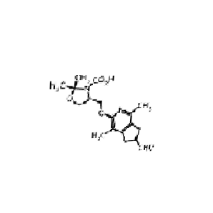 Cc1nc(OC[C@H]2COC(C)(C)N2C(=O)O)c(C)c2c1CC(C=O)C2